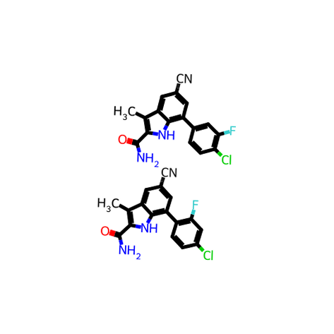 Cc1c(C(N)=O)[nH]c2c(-c3ccc(Cl)c(F)c3)cc(C#N)cc12.Cc1c(C(N)=O)[nH]c2c(-c3ccc(Cl)cc3F)cc(C#N)cc12